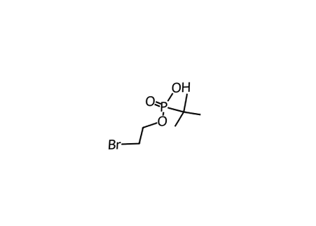 CC(C)(C)P(=O)(O)OCCBr